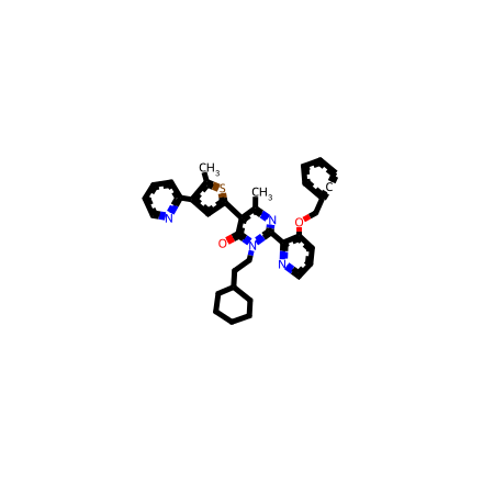 Cc1nc(-c2ncccc2OCc2ccccc2)n(CCC2CCCCC2)c(=O)c1-c1cc(-c2ccccn2)c(C)s1